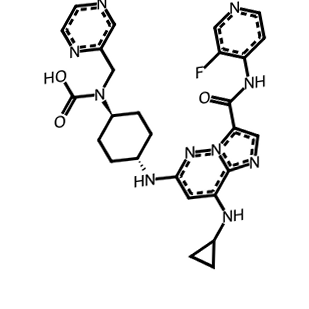 O=C(Nc1ccncc1F)c1cnc2c(NC3CC3)cc(N[C@H]3CC[C@H](N(Cc4cnccn4)C(=O)O)CC3)nn12